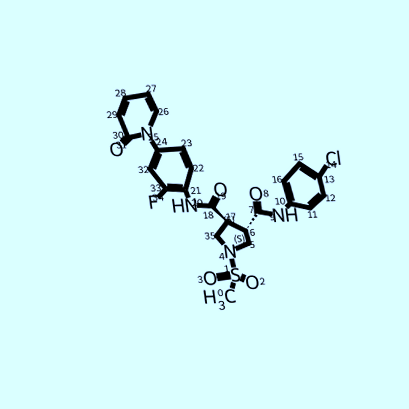 CS(=O)(=O)N1C[C@@H](C(=O)Nc2ccc(Cl)cc2)[C@H](C(=O)Nc2ccc(-n3ccccc3=O)cc2F)C1